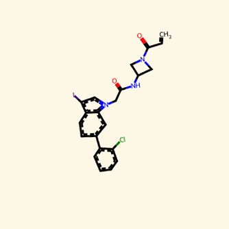 C=CC(=O)N1CC(NC(=O)Cn2cc(I)c3ccc(-c4ccccc4Cl)cc32)C1